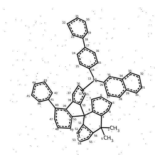 CC1(C)c2ccccc2C2(c3cc(N(c4ccc(-c5ccccc5)cc4)c4ccc5ccccc5c4)ccc3-c3c(-c4ccccc4)cccc32)c2ccccc21